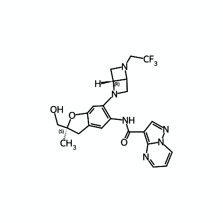 C[C@@]1(CO)Cc2cc(NC(=O)c3cnn4cccnc34)c(N3CC4[C@H]3CN4CC(F)(F)F)cc2O1